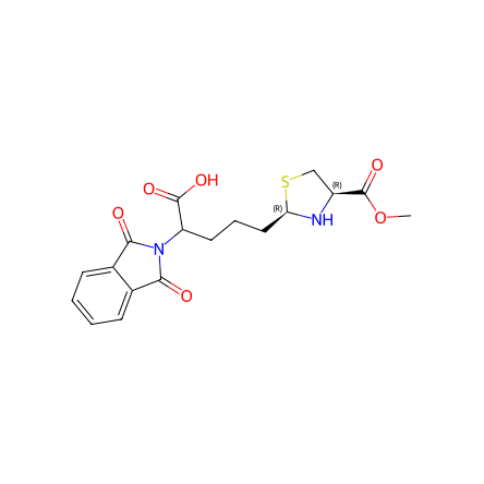 COC(=O)[C@@H]1CS[C@H](CCCC(C(=O)O)N2C(=O)c3ccccc3C2=O)N1